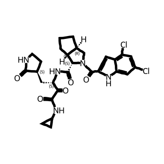 O=C(NC1CC1)C(=O)[C@H](C[C@@H]1CCNC1=O)NC(=O)[C@@H]1[C@H]2CCC[C@H]2CN1C(=O)c1cc2c(Cl)cc(Cl)cc2[nH]1